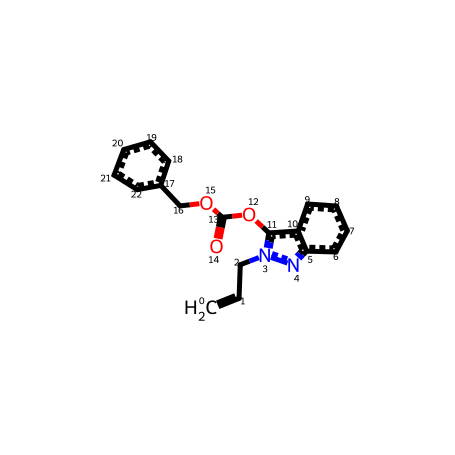 C=CCn1nc2ccccc2c1OC(=O)OCc1ccccc1